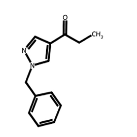 CCC(=O)c1cnn(Cc2ccccc2)c1